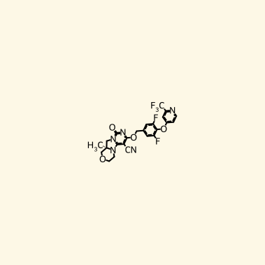 C[C@@]12COCCN1c1c(C#N)c(OCc3cc(F)c(Oc4ccnc(C(F)(F)F)c4)c(F)c3)nc(=O)n1C2